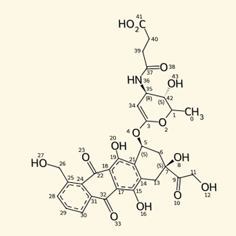 CC1OC(O[C@H]2C[C@](O)(C(=O)CO)Cc3c(O)c4c(c(O)c32)C(=O)c2c(CO)cccc2C4=O)=C[C@@H](NC(=O)CCC(=O)O)[C@@H]1O